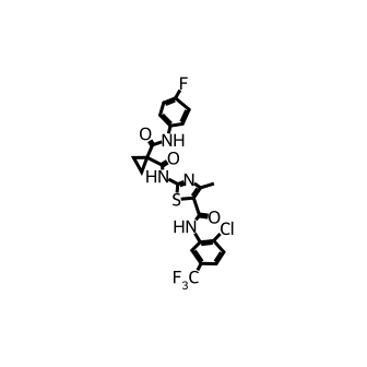 Cc1nc(NC(=O)C2(C(=O)Nc3ccc(F)cc3)CC2)sc1C(=O)Nc1cc(C(F)(F)F)ccc1Cl